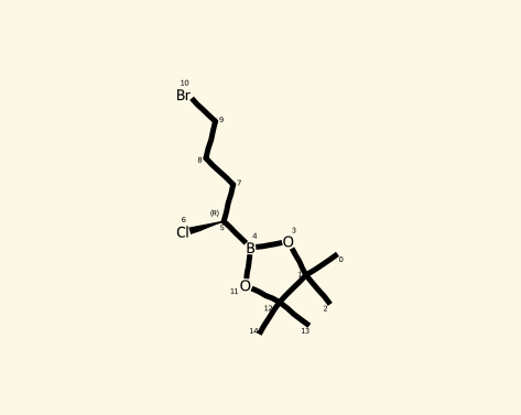 CC1(C)OB([C@@H](Cl)CCCBr)OC1(C)C